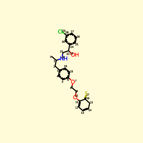 CC(Cc1ccc(OCCOC2=CC=CCC2=S)cc1)NCC(O)c1cccc(Cl)c1